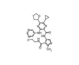 Cn1ncc(NC(=O)c2nc(C3CC3)c(C3CCCO3)nc2Nc2cncnc2)c1C(=O)NCCF